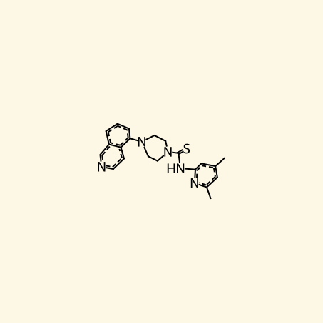 Cc1cc(C)nc(NC(=S)N2CCN(c3cccc4cnccc34)CC2)c1